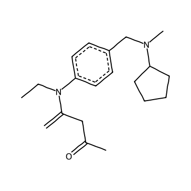 C=C(CC(C)=O)N(CC)c1ccc(CN(C)C2CCCC2)cc1